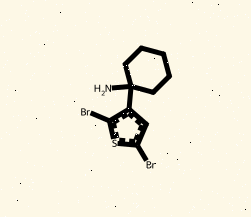 NC1(c2cc(Br)sc2Br)CCCCC1